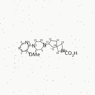 COc1cccnc1N1CCN(C2CCC3(C2)CN(C(=O)O)C3)CC1